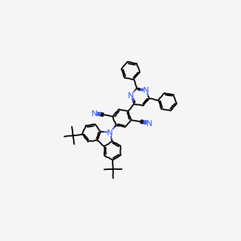 CC(C)(C)c1ccc2c(c1)c1cc(C(C)(C)C)ccc1n2-c1cc(C#N)c(-c2cc(-c3ccccc3)nc(-c3ccccc3)n2)cc1C#N